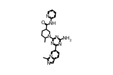 Cc1ncc2ccc(-c3nc(N)nc(N4CC(C(=O)Nc5ccccn5)CCC4C)n3)cn12